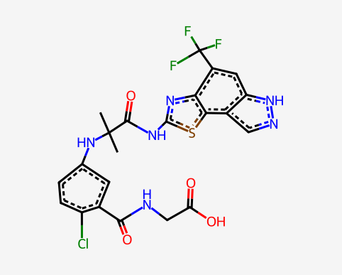 CC(C)(Nc1ccc(Cl)c(C(=O)NCC(=O)O)c1)C(=O)Nc1nc2c(C(F)(F)F)cc3[nH]ncc3c2s1